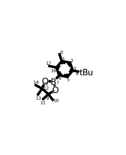 Cc1cc(C(C)(C)C)cc(B2OC(C)(C)C(C)(C)O2)c1C